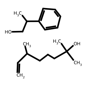 C=CC(C)CCCC(C)(C)O.CC(CO)c1ccccc1